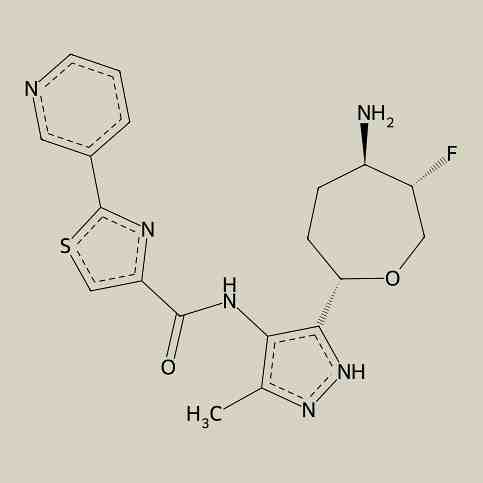 Cc1n[nH]c([C@@H]2CC[C@@H](N)[C@H](F)CO2)c1NC(=O)c1csc(-c2cccnc2)n1